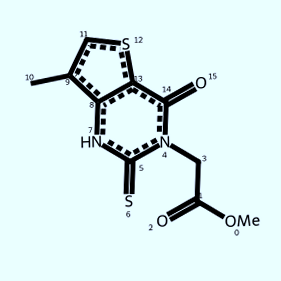 COC(=O)Cn1c(=S)[nH]c2c(C)csc2c1=O